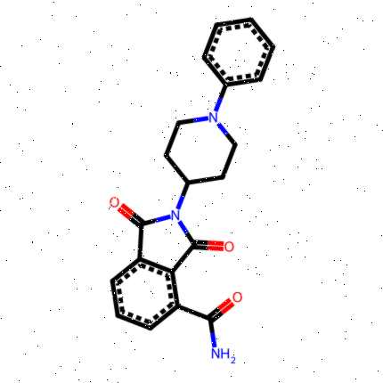 NC(=O)c1cccc2c1C(=O)N(C1CCN(c3ccccc3)CC1)C2=O